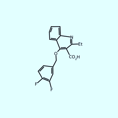 CCc1nc2ccccc2c(OCc2ccc(F)c(F)c2)c1C(=O)O